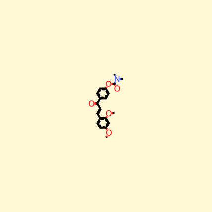 COc1ccc(C=CC(=O)c2ccc(OC(=O)N(C)C)cc2)c(OC)c1